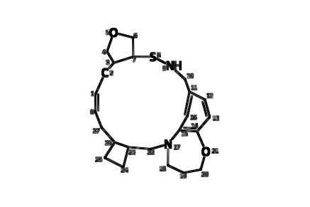 C1=CCC2COCC2SNCc2ccc3c(c2)N(CCCO3)CC2CCC2C1